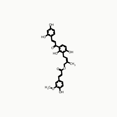 COc1cc(/C=C/C(=O)OC/C(C)=C\Cc2c(O)ccc(C(=O)/C=C/c3ccc(O)cc3O)c2O)ccc1O